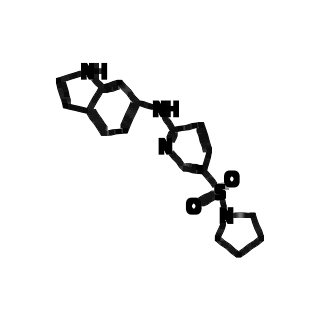 O=S(=O)(c1ccc(Nc2ccc3cc[nH]c3c2)nc1)N1CCCC1